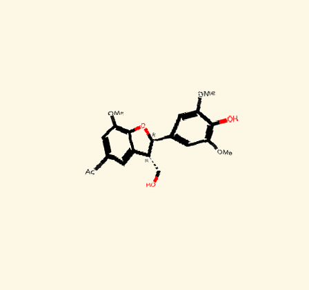 COc1cc([C@@H]2Oc3c(OC)cc(C(C)=O)cc3[C@H]2CO)cc(OC)c1O